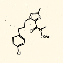 CON(C)C(=O)c1nc(C)cn1CCCc1ccc(Cl)cc1